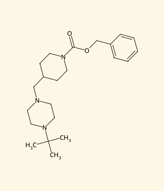 CC(C)(C)N1CCN(CC2CCN(C(=O)OCc3ccccc3)CC2)CC1